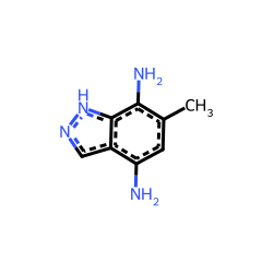 Cc1cc(N)c2cn[nH]c2c1N